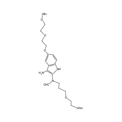 CCCCCCCCCCCCOCCCN(C=O)c1[nH]c2ccc(OCCOCCOCCCC)cc2c1N